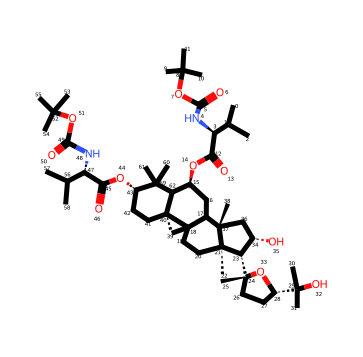 CC(C)[C@H](NC(=O)OC(C)(C)C)C(=O)O[C@H]1CC2C3(CC[C@]4(C)[C@@H]([C@@]5(C)CC[C@@H](C(C)(C)O)O5)[C@@H](O)C[C@@]24C)C[C@@]32CC[C@H](OC(=O)[C@@H](NC(=O)OC(C)(C)C)C(C)C)C(C)(C)C12